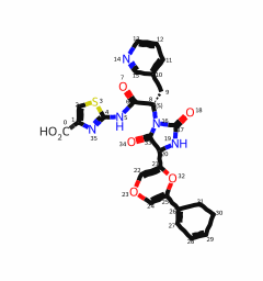 O=C(O)c1csc(NC(=O)[C@H](Cc2cccnc2)N2C(=O)NC(C3=COC=C(C4=CC=CCC4)O3)C2=O)n1